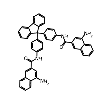 Nc1cc(C(=O)Nc2ccc(C3(c4ccc(NC(=O)c5cc(N)c6ccccc6c5)cc4)c4ccccc4-c4ccccc43)cc2)cc2ccccc12